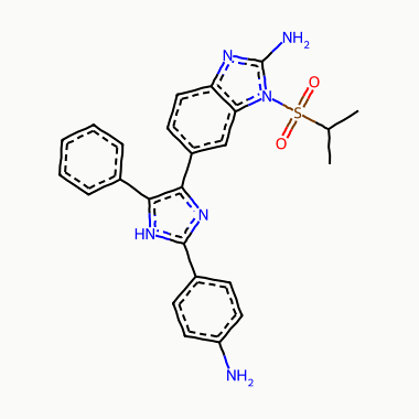 CC(C)S(=O)(=O)n1c(N)nc2ccc(-c3nc(-c4ccc(N)cc4)[nH]c3-c3ccccc3)cc21